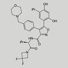 CC(C)c1cc(-c2onc(C(=O)N[C@@H](C(=O)N3CC(F)(F)C3)C(C)C)c2-c2ccc(CN3CCOCC3)cc2)c(O)cc1O